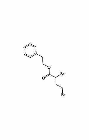 O=C(OCCc1ccccc1)C(Br)CCBr